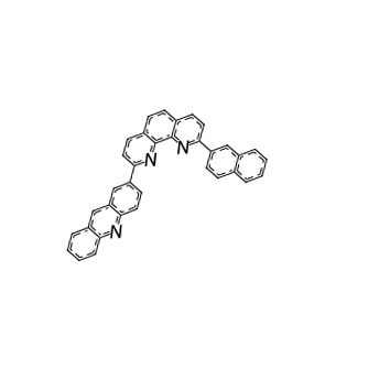 c1ccc2cc(-c3ccc4ccc5ccc(-c6ccc7nc8ccccc8cc7c6)nc5c4n3)ccc2c1